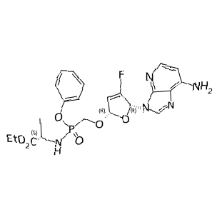 CCOC(=O)[C@H](C)NP(=O)(CO[C@@H]1C=C(F)[C@H](n2cnc3c(N)ccnc32)O1)Oc1ccccc1